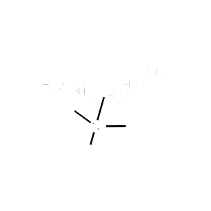 C[N+](C)(C)C.O.O.O.O.O.[F-]